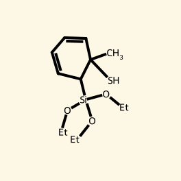 CCO[Si](OCC)(OCC)C1C=CC=CC1(C)S